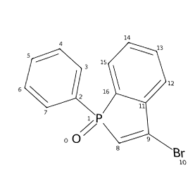 O=P1(c2ccccc2)C=C(Br)c2ccccc21